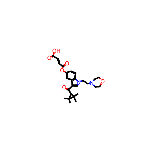 CC1(C)C(C(=O)c2cn(CCN3CCOCC3)c3ccc(OC(=O)/C=C/C(=O)O)cc23)C1(C)C